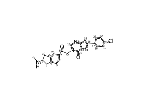 CNC1Cc2ccc(C(=O)Cn3cnc4cc(-c5ccc(Cl)cc5)sc4c3=O)cc2C1